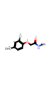 CC(C)NC(=O)COc1ccc(C=O)cc1Cl